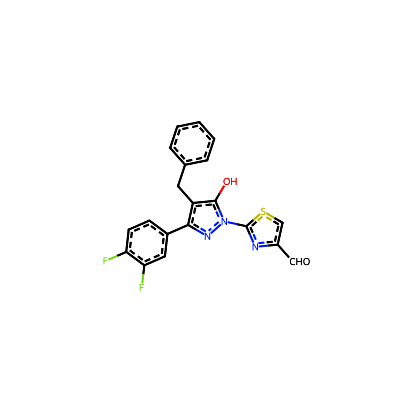 O=Cc1csc(-n2nc(-c3ccc(F)c(F)c3)c(Cc3ccccc3)c2O)n1